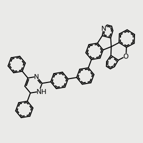 C1=C(c2ccccc2)N=C(c2ccc(-c3cccc(-c4ccc5c(c4)C4(c6ccccc6Oc6ccccc64)c4cccnc4-5)c3)cc2)NC1c1ccccc1